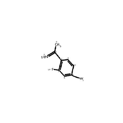 CC(=N)c1ccc(Br)cc1F